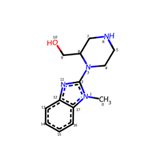 Cn1c(N2CCNCC2CO)nc2ccccc21